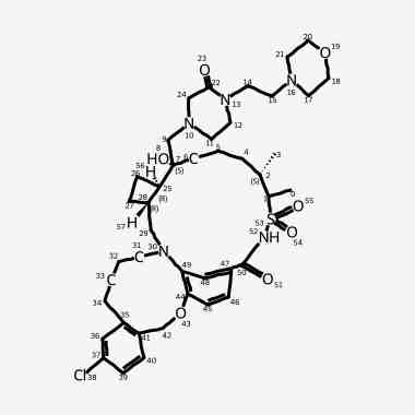 CC1[C@@H](C)CCC[C@@](O)(CN2CCN(CCN3CCOCC3)C(=O)C2)[C@@H]2CC[C@H]2CN2CCCCc3cc(Cl)ccc3COc3ccc(cc32)C(=O)NS1(=O)=O